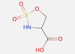 O=C(O)C1COS(=O)(=O)N1